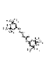 CC1(C)CC(OCOCC(=O)OC2CC(C)(C)NC(C)(C)C2)CC(C)(C)N1